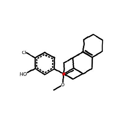 CO/C(=C1\C2CCCC1C1=C(CCCC1)C2)c1ccc(Cl)c(O)c1